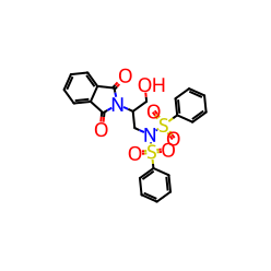 O=C1c2ccccc2C(=O)N1C(CO)CN(S(=O)(=O)c1ccccc1)S(=O)(=O)c1ccccc1